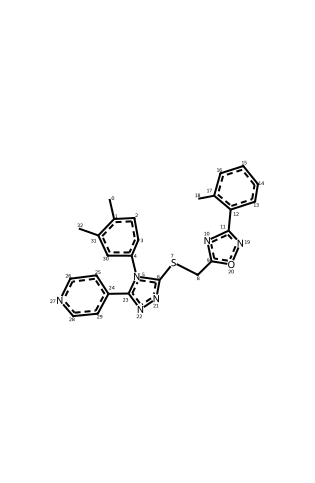 Cc1ccc(-n2c(SCc3nc(-c4ccccc4C)no3)nnc2-c2ccncc2)cc1C